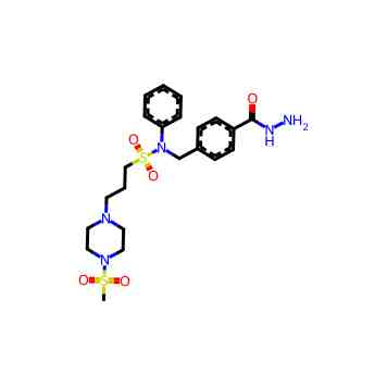 CS(=O)(=O)N1CCN(CCCS(=O)(=O)N(Cc2ccc(C(=O)NN)cc2)c2ccccc2)CC1